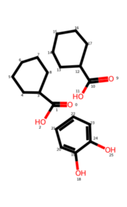 O=C(O)C1CCCCC1.O=C(O)C1CCCCC1.Oc1ccccc1O